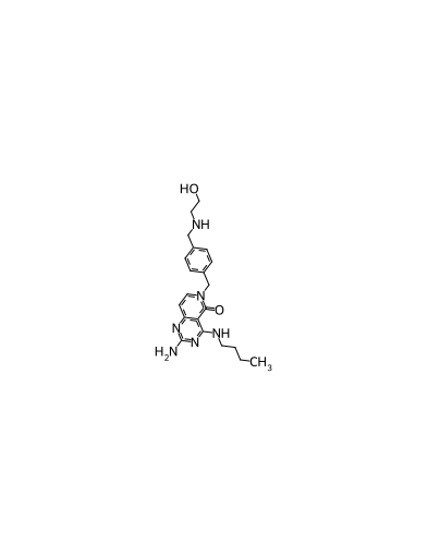 CCCCNc1nc(N)nc2ccn(Cc3ccc(CNCCO)cc3)c(=O)c12